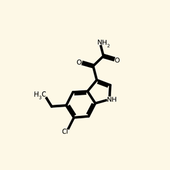 CCc1cc2c(C(=O)C(N)=O)c[nH]c2cc1Cl